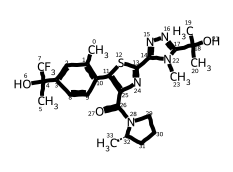 Cc1cc(C(C)(O)C(F)(F)F)ccc1-c1sc(-c2nnc(C(C)(C)O)n2C)nc1C(=O)N1CCC[C@@H]1C